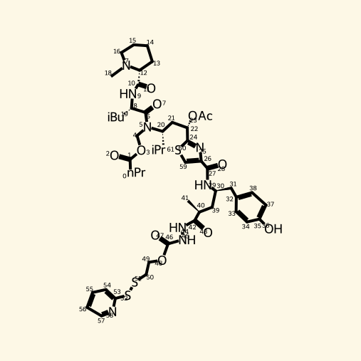 CCCC(=O)OCN(C(=O)[C@@H](NC(=O)[C@H]1CCCCN1C)C(C)CC)[C@H](C[C@H](OC(C)=O)c1nc(C(=O)N[C@@H](Cc2ccc(O)cc2)C[C@H](C)C(=O)NNC(=O)OCCSSc2ccccn2)cs1)C(C)C